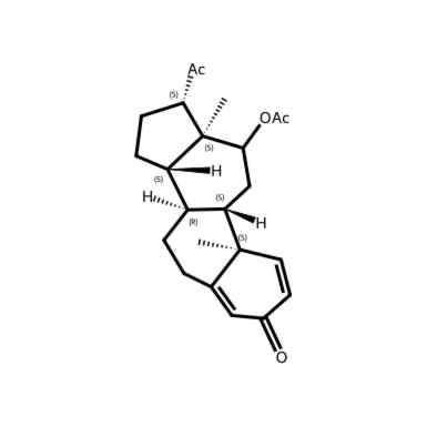 CC(=O)OC1C[C@H]2[C@@H](CCC3=CC(=O)C=C[C@@]32C)[C@@H]2CC[C@H](C(C)=O)[C@@]12C